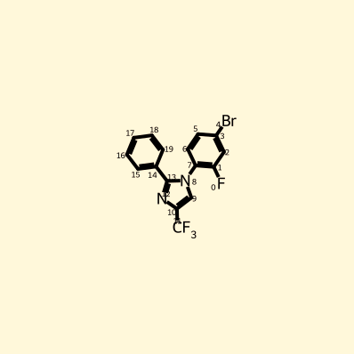 Fc1cc(Br)ccc1-n1cc(C(F)(F)F)nc1-c1ccccc1